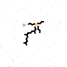 CCCC[P+](CC=C(C)CCC=C(C)CCC=C(C)C)(CCCC)CCCC.[Br-]